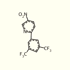 O=[N+]([O-])c1ccc(-c2cc(C(F)(F)F)cc(C(F)(F)F)c2)nc1